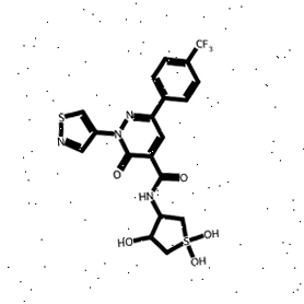 O=C(NC1CS(O)(O)CC1O)c1cc(-c2ccc(C(F)(F)F)cc2)nn(-c2cnsc2)c1=O